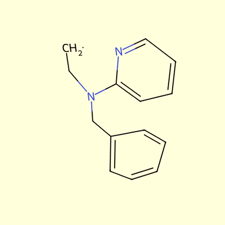 [CH2]CN(Cc1ccccc1)c1ccccn1